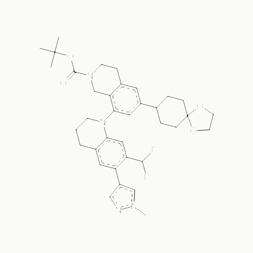 Cn1cc(-c2cc3c(cc2C(F)F)N(c2cc(C4CCC5(CC4)OCCO5)cc4c2CN(C(=O)OC(C)(C)C)CC4)CCC3)cn1